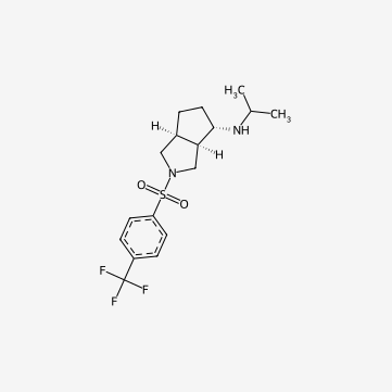 CC(C)N[C@H]1CC[C@@H]2CN(S(=O)(=O)c3ccc(C(F)(F)F)cc3)C[C@@H]21